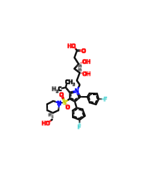 CC(C)c1c(S(=O)(=O)N2CCC[C@@H](CO)C2)c(-c2ccc(F)cc2)c(-c2ccc(F)cc2)n1CC[C@@H](O)C[C@@H](O)CC(=O)O